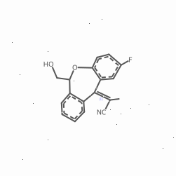 C/C(C#N)=C1\c2cc(F)ccc2OC(CO)c2ccccc21